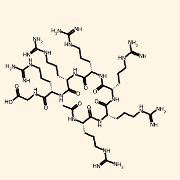 CC(=O)N[C@@H](CCCNC(=N)N)C(=O)N[C@@H](CCCNC(=N)N)C(=O)N[C@@H](CCCNC(=N)N)C(=O)N[C@@H](CCCNC(=N)N)C(=O)N[C@@H](CCCNC(=N)N)C(=O)N[C@@H](CCCNC(=N)N)C(=O)NCC(=O)O